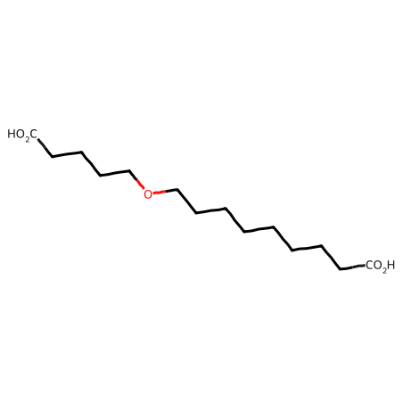 O=C(O)CCCCCCCCOCCCCC(=O)O